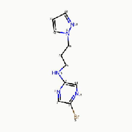 Brc1cnc(NCCCn2cccn2)cn1